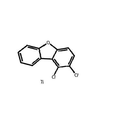 Clc1ccc2oc3ccccc3c2c1Cl.[Ti]